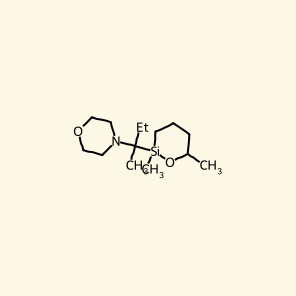 CCC(C)(N1CCOCC1)[Si]1(C)CCCC(C)O1